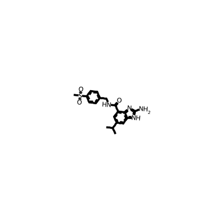 CC(C)c1cc(C(=O)NCc2ccc(S(C)(=O)=O)cc2)c2nc(N)[nH]c2c1